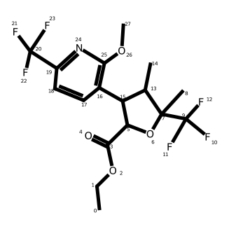 CCOC(=O)C1OC(C)(C(F)(F)F)C(C)C1c1ccc(C(F)(F)F)nc1OC